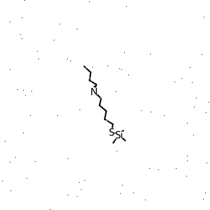 CCCC=NCCCCCS[Si](C)(C)C